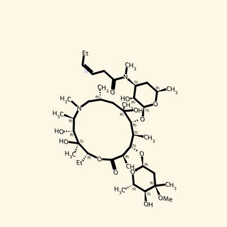 CC/C=C\CC(=O)N(C)[C@H]1C[C@@H](C)O[C@@H](O[C@@H]2[C@@H](C)[C@H](O[C@H]3C[C@@](C)(OC)[C@@H](O)[C@H](C)O3)[C@@H](C)C(=O)O[C@H](CC)[C@@](C)(O)[C@H](O)[C@@H](C)N(C)C[C@H](C)C[C@@]2(C)O)[C@@H]1O